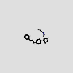 O=C(O)CCC/C=C\C[C@@H]1[C@@H](c2ccc(C(O)CCc3ccccc3)cc2)[C@H](O)C[C@@H]1Cl